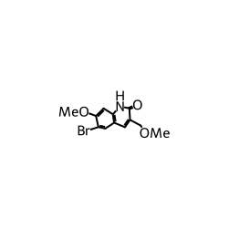 COCc1cc2cc(Br)c(OC)cc2[nH]c1=O